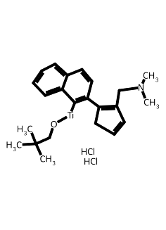 CN(C)CC1=C(c2ccc3ccccc3[c]2[Ti][O]CC(C)(C)C)CC=C1.Cl.Cl